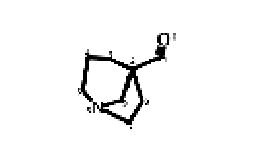 O=CC12CCCN(CC1)C2